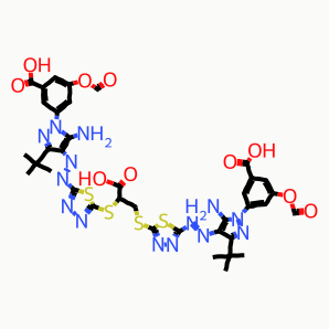 CC(C)(C)c1nn(-c2cc(OC=O)cc(C(=O)O)c2)c(N)c1N=Nc1nnc(SCC(Sc2nnc(N=Nc3c(C(C)(C)C)nn(-c4cc(OC=O)cc(C(=O)O)c4)c3N)s2)C(=O)O)s1